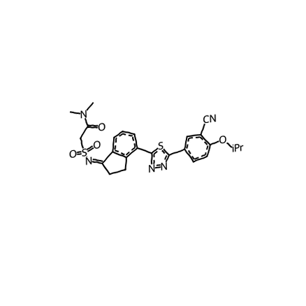 CC(C)Oc1ccc(-c2nnc(-c3cccc4c3CC/C4=N/S(=O)(=O)CC(=O)N(C)C)s2)cc1C#N